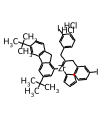 CC(C)(C)c1ccc2c(c1)-c1cc(C(C)(C)C)c[c]([Zr]([C]3=CC=CC3)=[C](Cc3cccc(I)c3)Cc3cccc(I)c3)c1C2.Cl.Cl